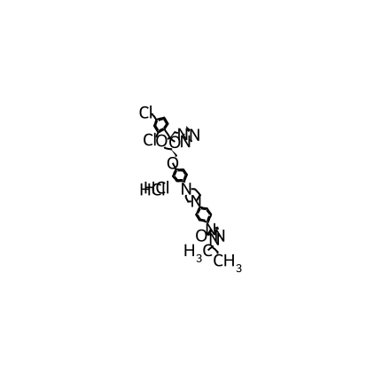 CCC(C)n1ncn(-c2ccc(N3CCN(c4ccc(OC[C@H]5CO[C@](Cn6cncn6)(c6ccc(Cl)cc6Cl)O5)cc4)CC3)cc2)c1=O.Cl.Cl